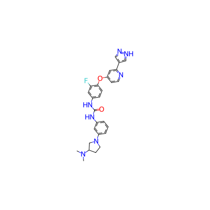 CN(C)C1CCN(c2cccc(NC(=O)Nc3ccc(Oc4ccnc(-c5cn[nH]c5)c4)c(F)c3)c2)C1